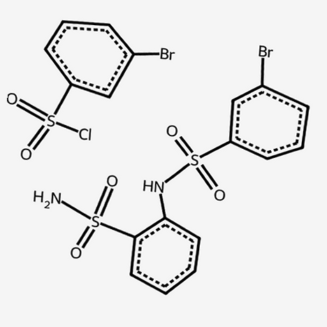 NS(=O)(=O)c1ccccc1NS(=O)(=O)c1cccc(Br)c1.O=S(=O)(Cl)c1cccc(Br)c1